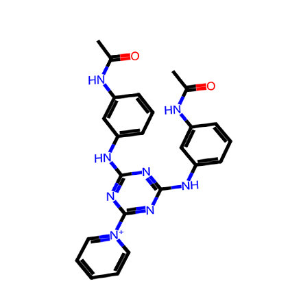 CC(=O)Nc1cccc(Nc2nc(Nc3cccc(NC(C)=O)c3)nc(-[n+]3ccccc3)n2)c1